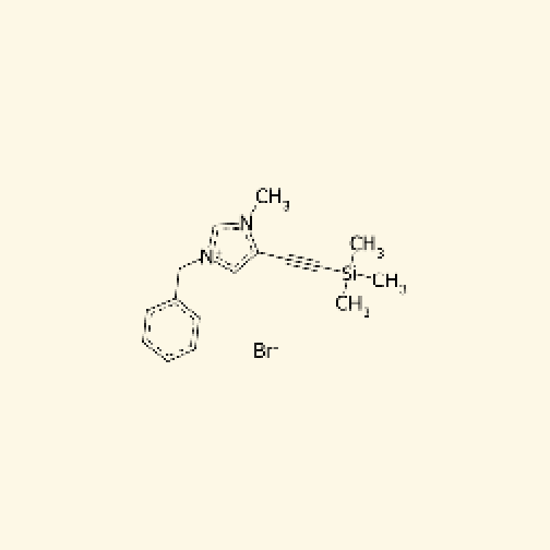 Cn1c[n+](Cc2ccccc2)cc1C#C[Si](C)(C)C.[Br-]